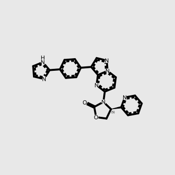 O=C1OC[C@H](c2ccccn2)N1c1ccn2ncc(-c3ccc(-c4ncc[nH]4)cc3)c2n1